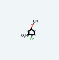 N#CCOc1ccc(Br)c([N+](=O)[O-])c1